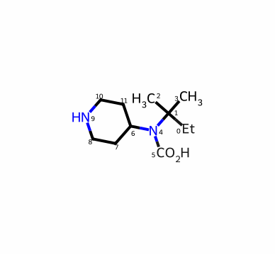 CCC(C)(C)N(C(=O)O)C1CCNCC1